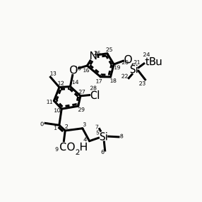 CC(=C(CC[Si](C)(C)C)C(=O)O)c1cc(C)c(Oc2ccc(O[Si](C)(C)C(C)(C)C)cn2)c(Cl)c1